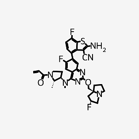 C=CC(=O)N1CC[C@@H](N(C)c2nc(OC[C@@]34CCCN3C[C@H](F)C4)nc3cc(-c4ccc(F)c5sc(N)c(C#N)c45)c(F)cc23)[C@@H]1C